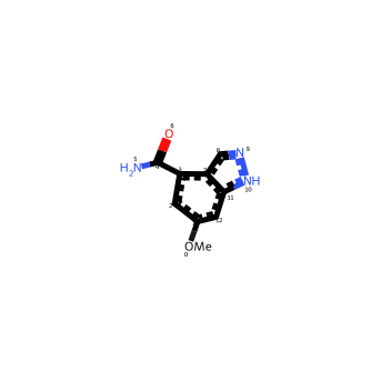 COc1cc(C(N)=O)c2cn[nH]c2c1